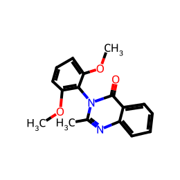 COc1cccc(OC)c1-n1c(C)nc2ccccc2c1=O